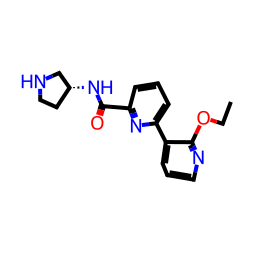 CCOc1ncccc1-c1cccc(C(=O)N[C@@H]2CCNC2)n1